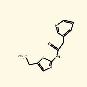 O=C(O)Cc1cnc(NC(=O)Cc2cccnc2)s1